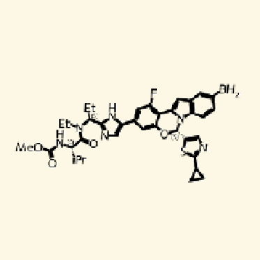 Bc1ccc2c(c1)cc1n2[C@H](c2cnc(C3CC3)s2)Oc2cc(-c3cnc([C@H](CC)N(CC)C(=O)[C@@H](NC(=O)OC)C(C)C)[nH]3)cc(F)c2-1